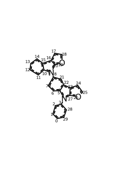 c1ccc(-n2c3ccc(-n4c5ccccc5c5ccoc54)cc3c3ccoc32)cc1